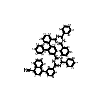 N#Cc1ccc(-c2cccc(-c3nc(-c4ccccc4)nc(-c4ccc(-c5ccccc5-c5nc(-c6ccccc6)nc(-c6ccccc6)n5)c(-c5ccccc5)c4)n3)c2)c2ccccc12